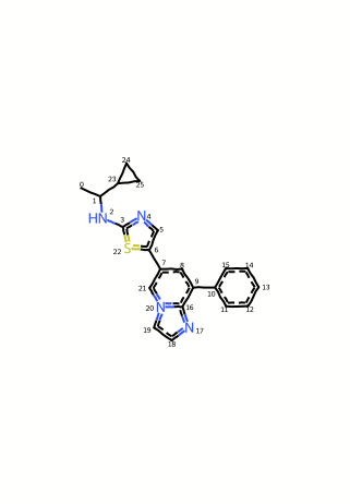 CC(Nc1ncc(-c2cc(-c3ccccc3)c3nccn3c2)s1)C1CC1